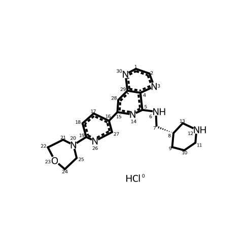 Cl.c1cnc2c(NC[C@H]3CCCNC3)nc(-c3ccc(N4CCOCC4)nc3)cc2n1